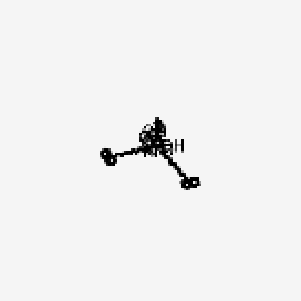 CC(C)(C)[Si](C)(C)OC[C@H]1O[C@H](O)[C@@H](NC(=O)CCCCCCCCc2cccc3ccccc23)[C@@H](OC(=O)CCCCCCCCc2cccc3ccccc23)[C@@H]1OS(=O)(=O)O